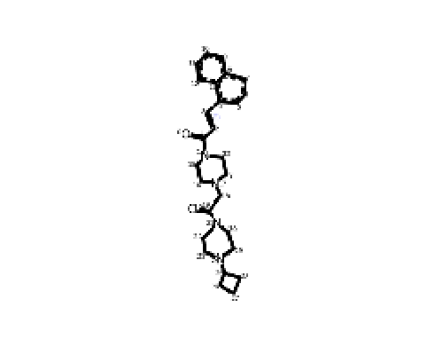 O=C(/C=C/c1cccc2ccccc12)N1CCN(CC(=O)N2CCN(C3CCC3)CC2)CC1